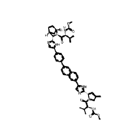 COC(=O)N[C@H](C(=O)N1CC(C)=C[C@H]1c1ncc(-c2ccc3cc(-c4ccc(-c5cnc([C@@H]6[C@@H]7CC[C@@H](C7)N6C(=O)[C@@H](NC(=O)OC)C(C)C)[nH]5)cc4)ccc3c2)[nH]1)C(C)C